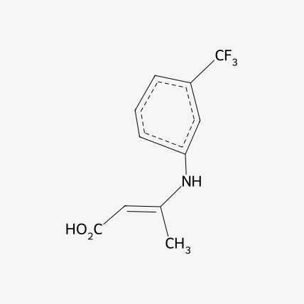 CC(=CC(=O)O)Nc1cccc(C(F)(F)F)c1